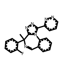 CC1(c2ccccc2F)N=Cc2ccccc2-n2c(-c3cccnn3)nnc21